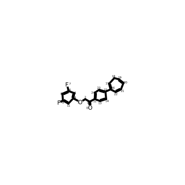 O=C(COc1cc(F)cc(F)c1)c1ccc(C2=CCC=CC=C2)cc1